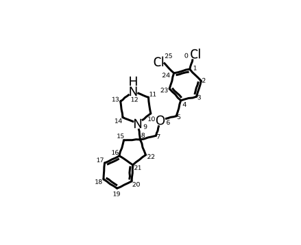 Clc1ccc(COCC2(N3CCNCC3)Cc3ccccc3C2)cc1Cl